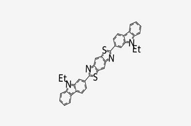 CCn1c2ccccc2c2ccc(-c3nc4cc5sc(-c6ccc7c8ccccc8n(CC)c7c6)nc5cc4s3)cc21